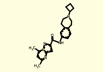 Cc1cc(C)n2nc(C(=O)Nc3ccc4c(c3)CCN(C3CCC3)CC4)cc2n1